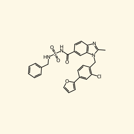 Cc1nc2ccc(C(=O)NS(=O)(=O)NCc3ccccc3)cc2n1Cc1ccc(-c2ccco2)cc1Cl